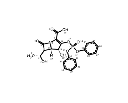 C[C@@H](O)[C@H]1C(=O)N2C(C(=O)O)=C(OP(=O)(Oc3ccccc3)Oc3ccccc3)[C@H](C)[C@@H]12